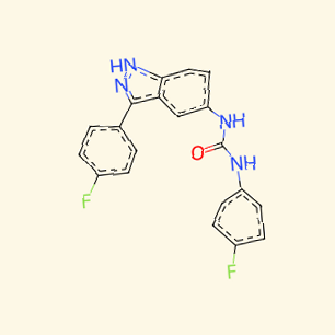 O=C(Nc1ccc(F)cc1)Nc1ccc2[nH]nc(-c3ccc(F)cc3)c2c1